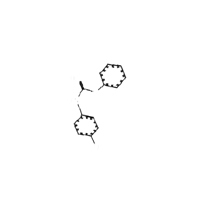 C=C(Nc1ccc(Cl)cc1)Oc1ccccc1